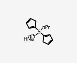 CCC[Si](CCC)(C1=CC=CC1)C1=CC=CC1.[NaH]